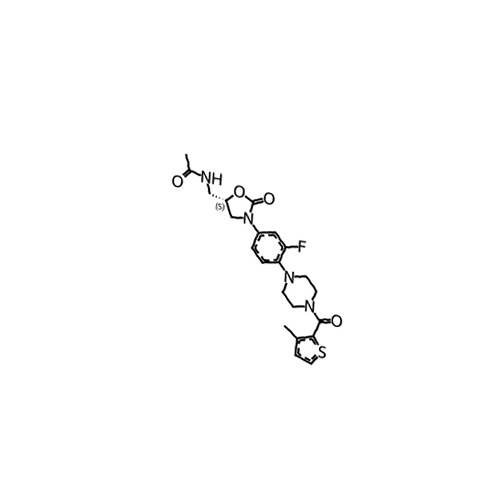 CC(=O)NC[C@H]1CN(c2ccc(N3CCN(C(=O)c4sccc4C)CC3)c(F)c2)C(=O)O1